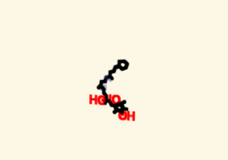 C/C(=C\CC/C(C)=C/CCC(C)(O)CCc1c(C)c(O)c(C)c(C)c1O)CCC=C1CCCCC1